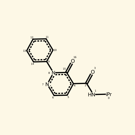 CC(C)NC(=O)c1ccnn(-c2ccccc2)c1=O